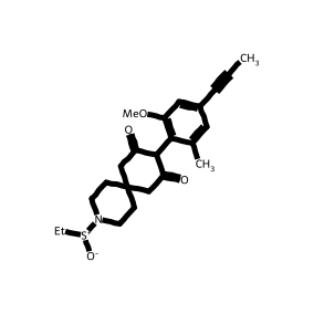 CC#Cc1cc(C)c(C2C(=O)CC3(CCN([S+]([O-])CC)CC3)CC2=O)c(OC)c1